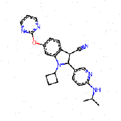 CC(C)Nc1ccc(C2C(C#N)c3ccc(Oc4ncccn4)cc3N2C2CCC2)cn1